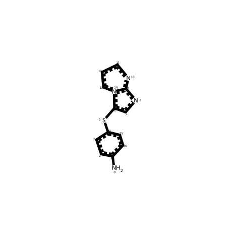 Nc1ccc(Sc2cnc3ncccn23)cc1